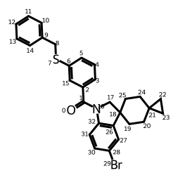 O=C(c1cccc(SCc2ccccc2)c1)N1CC2(CCC3(CC3)CC2)c2cc(Br)ccc21